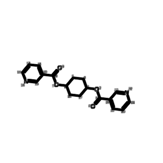 O=C(OC1CCC(OC(=O)c2cccnc2)CC1)c1cccnc1